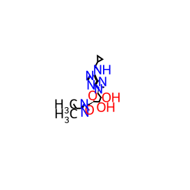 CC(C)c1noc([C@H]2O[C@@H](n3cnc4c(NCC5CC5)ncnc43)[C@H](O)[C@@H]2O)n1